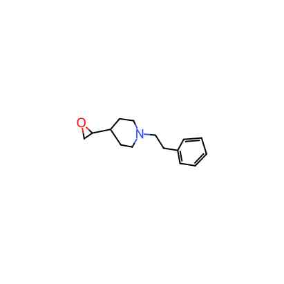 c1ccc(CCN2CCC(C3CO3)CC2)cc1